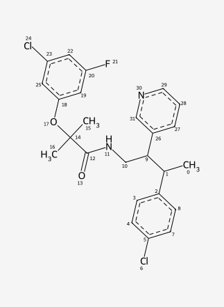 CC(c1ccc(Cl)cc1)C(CNC(=O)C(C)(C)Oc1cc(F)cc(Cl)c1)c1cccnc1